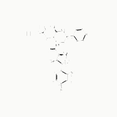 CC(C)C[C@H]1C(=O)N[C@@H](c2ccccc2)CN1C(=O)c1noc(-c2ccc(F)cc2F)c1F